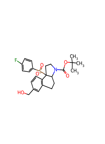 CC(C)(C)OC(=O)N1CCC2(S(=O)(=O)c3ccc(F)cc3)c3ccc(CO)cc3CCC12